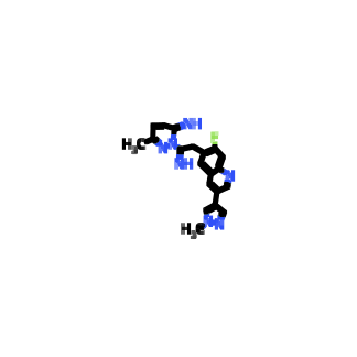 Cc1ccc(=N)n(C(=N)Cc2cc3cc(-c4cnn(C)c4)cnc3cc2F)n1